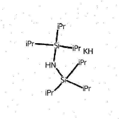 CC(C)[Si](N[Si](C(C)C)(C(C)C)C(C)C)(C(C)C)C(C)C.[KH]